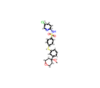 COC1(c2cccc(Sc3ccc(S(=O)(=O)Nc4ccc(Cl)cn4)cc3)c2)CCOCC1